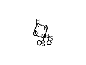 C1=Cc2cc3[nH]c(cc4nc(cc5ccc(cc1n2)[nH]5)C=C4)c(-c1csc2ccccc12)c3-c1csc2ccccc12